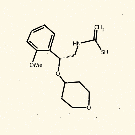 C=C(S)NC[C@H](OC1CCOCC1)c1ccccc1OC